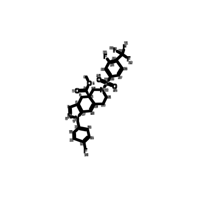 COC(=O)[C@]12Cc3cnn(-c4ccc(F)cc4)c3C=C1CCN(S(=O)(=O)c1ccc(C(F)(F)F)c(F)c1)C2